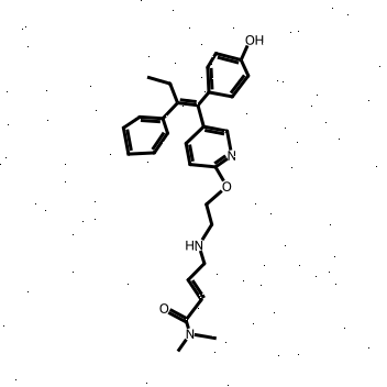 CC/C(=C(\c1ccc(O)cc1)c1ccc(OCCNC/C=C/C(=O)N(C)C)nc1)c1ccccc1